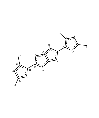 Cc1cc(C)c(-c2cc3sc(-c4sc(C)cc4C)cc3s2)s1